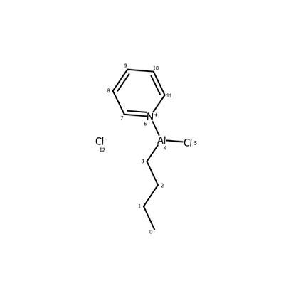 CCC[CH2][Al]([Cl])[n+]1ccccc1.[Cl-]